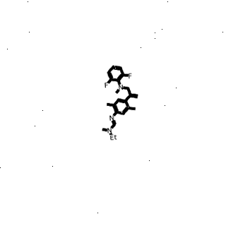 C=C(CN(C)c1c(F)cccc1F)c1cc(C)c(N=CN(C)CC)cc1C